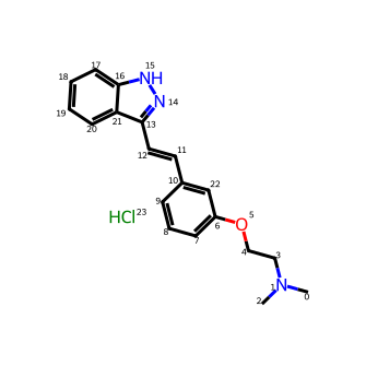 CN(C)CCOc1cccc(C=Cc2n[nH]c3ccccc23)c1.Cl